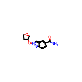 NC(=O)c1ccc2nn(OC3CCOC3)cc2c1